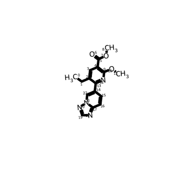 CCc1cc(C(=O)OC)c(OC)nc1-c1ccc2ncnn2c1